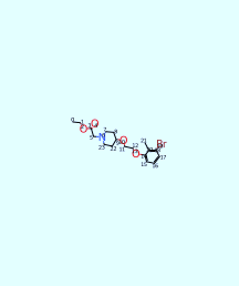 CCOC(=O)CN1CCC(OCCOc2cccc(Br)c2C)CC1